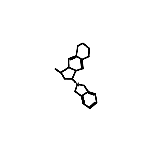 CC1CC(N2Cc3ccccc3C2)C2C=C3CCCCC3=CC12